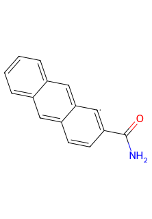 NC(=O)c1[c]c2cc3ccccc3cc2cc1